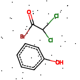 O=C(Br)C(Cl)Cl.Oc1ccccc1